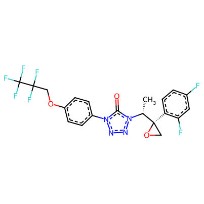 C[C@@H](n1nnn(-c2ccc(OCC(F)(F)C(F)(F)F)cc2)c1=O)[C@@]1(c2ccc(F)cc2F)CO1